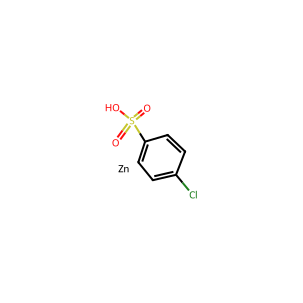 O=S(=O)(O)c1ccc(Cl)cc1.[Zn]